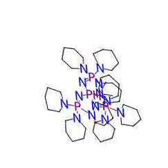 CN(C)[PH](N=P(N1CCCCC1)(N1CCCCC1)N1CCCCC1)(N=P(N1CCCCC1)(N1CCCCC1)N1CCCCC1)N=P(N1CCCCC1)(N1CCCCC1)N1CCCCC1